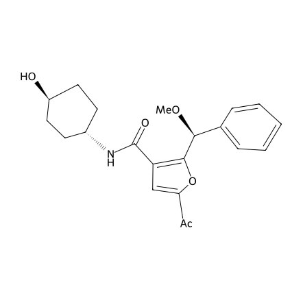 CO[C@@H](c1ccccc1)c1oc(C(C)=O)cc1C(=O)N[C@H]1CC[C@H](O)CC1